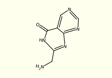 NCc1nc2ncncc2c(=O)[nH]1